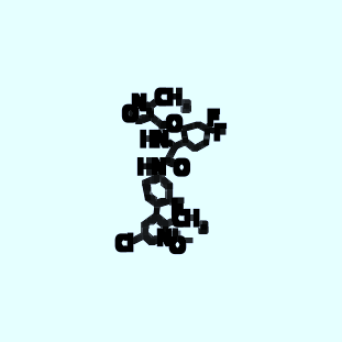 Cc1nocc1C(=O)N[C@H](C(=O)Nc1ccc(-c2cc(Cl)c[n+]([O-])c2C)c(F)c1)C1CCC(F)(F)CC1